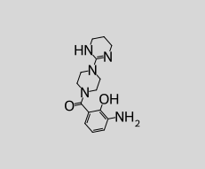 Nc1cccc(C(=O)N2CCN(C3=NCCCN3)CC2)c1O